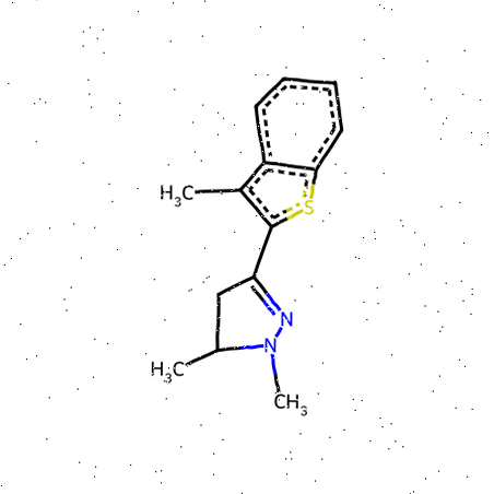 Cc1c(C2=NN(C)C(C)C2)sc2ccccc12